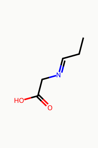 CCC=NCC(=O)O